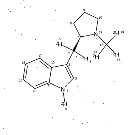 [2H]n1cc(C([2H])([2H])[C@H]2CCCN2C([2H])([2H])[2H])c2ccccc21